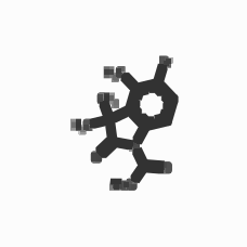 COC(=O)N1C(=O)C(C)(C)c2c1ccc(Br)c2C